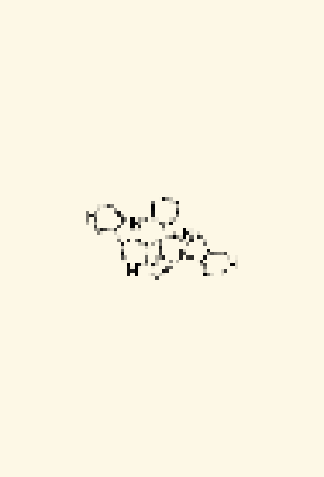 c1ccc2c(c1)-n1c3ccncc3c3cncc(c31)C21c2ccccc2-n2c3ccncc3c3cncc1c32